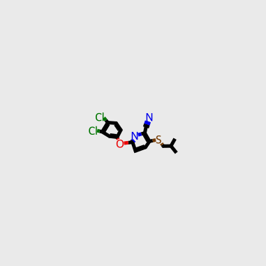 CC(C)CSc1ccc(Oc2ccc(Cl)c(Cl)c2)nc1C#N